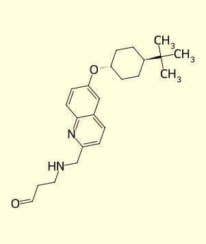 CC(C)(C)[C@H]1CC[C@H](Oc2ccc3nc(CNCCC=O)ccc3c2)CC1